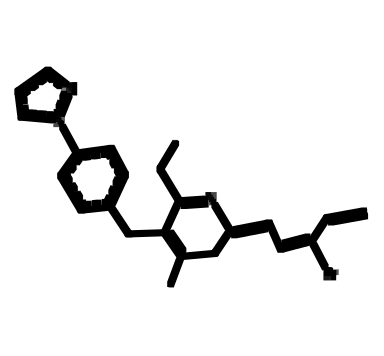 C=C/C(Br)=C\C=C1/CC(C)=C(Cc2ccc(-n3cccn3)cc2)C(CC)=N1